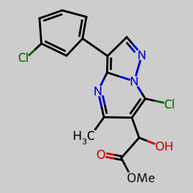 COC(=O)C(O)c1c(C)nc2c(-c3cccc(Cl)c3)cnn2c1Cl